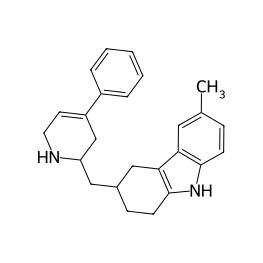 Cc1ccc2[nH]c3c(c2c1)CC(CC1CC(c2ccccc2)=CCN1)CC3